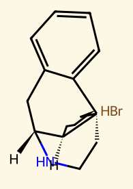 Br.c1ccc2c(c1)C[C@H]1NCC[C@@]23CCCC[C@@H]13